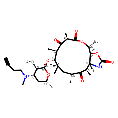 C#CCCN(C)[C@H]1C[C@@H](C)O[C@@H](O[C@@H]2[C@@H](C)C(=O)[C@@H](C)C(=O)O[C@H](CC)[C@@]3(C)OC(=O)N[C@@H]3[C@@H](C)C(=O)[C@H](C)C[C@@]2(C)OC)[C@@H]1OC(C)=O